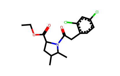 CCOC(=O)C1CC(C)C(C)N1C(=O)Cc1ccc(Cl)cc1Cl